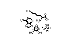 NCCCCC(N)C(=O)O.Nc1ncnc2c1ncn2[C@@H]1O[C@H](COP(=O)(O)O)[C@@H](O)[C@H]1O